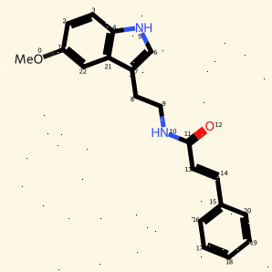 COc1ccc2[nH]cc(CCNC(=O)C=Cc3ccccc3)c2c1